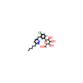 CCCCCc1ccc(Cc2cc([C@@H]3O[C@H](CO)[C@@H](O)[C@H](O)[C@H]3O)ccc2Cl)nn1